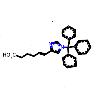 O=C(O)CCCC=Cc1cn(C(c2ccccc2)(c2ccccc2)c2ccccc2)cn1